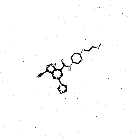 COCCO[C@H]1CC[C@H](NC(=O)c2cc(-n3ccnc3)cc3c(C#N)c[nH]c23)CC1